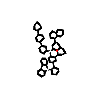 c1ccc(-c2ccc(-c3cccc(N(c4cccc(-c5cccc6ccccc56)c4)c4ccc(-c5ccccc5-n5c6ccccc6c6ccccc65)cc4-c4ccccc4)c3)cc2)cc1